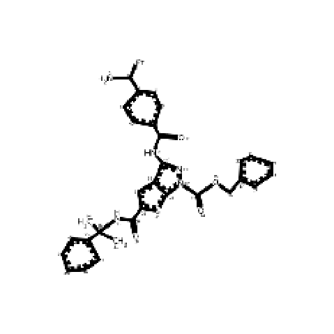 CC(C)C(N)c1ccc(C(=O)Nc2nn(C(=O)OCc3ccccc3)c3sc(C(=O)NC(C)(C)c4ccccc4)cc23)cc1